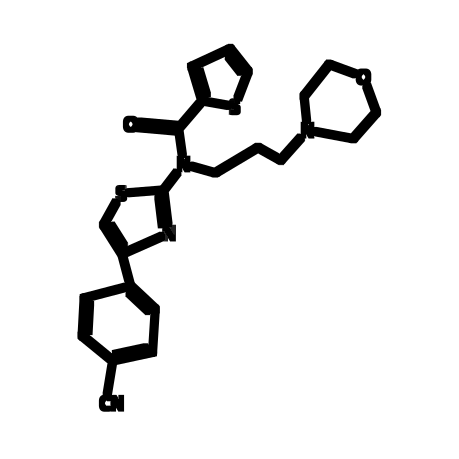 N#Cc1ccc(-c2csc(N(CCCN3CCOCC3)C(=O)c3cccs3)n2)cc1